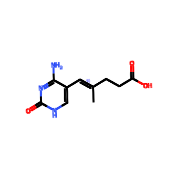 C/C(=C\c1c[nH]c(=O)nc1N)CCC(=O)O